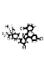 CCOC1(C(N)=O)CCN(c2cc(Cl)nc3c(-c4ccc(Cl)cc4)c(-c4ccccc4Cl)nn23)CC1